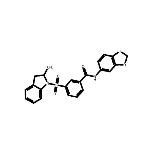 CC1Cc2ccccc2N1S(=O)(=O)c1cccc(C(=O)Nc2ccc3c(c2)OCO3)c1